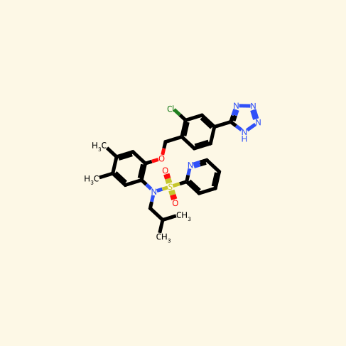 Cc1cc(OCc2ccc(-c3nnn[nH]3)cc2Cl)c(N(CC(C)C)S(=O)(=O)c2ccccn2)cc1C